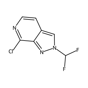 FC(F)n1cc2ccnc(Cl)c2n1